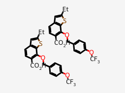 CCc1cc2ccc(C(=O)O)c(OCc3ccc(OC(F)(F)F)cc3)c2s1.CCc1cc2ccc(C(=O)O)c(OCc3ccc(OC(F)(F)F)cc3)c2s1